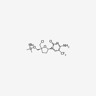 CC(C)(C)[Si](C)(C)OC[C@]1(CCl)CC[C@H](n2cc(C(F)(F)F)c(N)nc2=O)O1